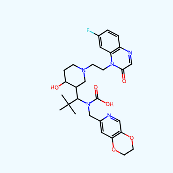 CC(C)(C)C(C1CN(CCn2c(=O)cnc3ccc(F)cc32)CCC1O)N(Cc1cc2c(cn1)OCCO2)C(=O)O